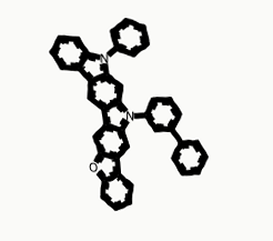 c1ccc(-c2cccc(-n3c4cc5c(cc4c4cc6c7ccccc7n(-c7ccccc7)c6cc43)oc3ccccc35)c2)cc1